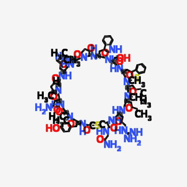 CCCC[C@H]1C(=O)N(C)[C@@H](CCCC)C(=O)N[C@@H](CCCNC(=N)N)C(=O)NC(C(=O)NCC(N)=O)CSCC(=O)N[C@@H](Cc2ccc(O)cc2)C(=O)N(C)[C@@H](C)C(=O)N[C@@H](CC(N)=O)C(=O)N2[C@@H](C)CC[C@H]2C(=O)N[C@@H](Cc2cnc[nH]2)C(=O)N[C@@H](CC(C)C)C(=O)N2CCCC2(C=O)N[C@@H](Cc2c[nH]c3ccccc23)C(=O)N[C@@H](CO)C(=O)N[C@@H](Cc2csc3ccccc23)C(=O)N1C